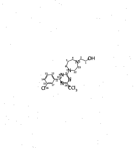 OCCN1CCCN(c2nc(-c3cccc(Cl)c3)nc(C(Cl)(Cl)Cl)n2)CC1